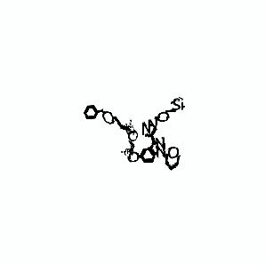 C[C@H](CCO[C@@H](C)CCOCc1ccccc1)Oc1ccc2c(c1)c(-c1cnn(COCC[Si](C)(C)C)c1)nn2C1CCCCO1